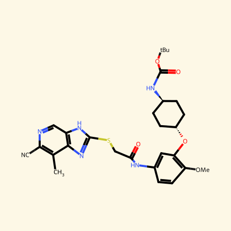 COc1ccc(NC(=O)CSc2nc3c(C)c(C#N)ncc3[nH]2)cc1O[C@H]1CC[C@H](NC(=O)OC(C)(C)C)CC1